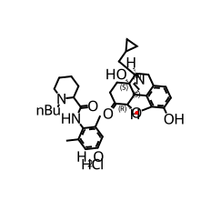 CCCCN1CCCCC1C(=O)Nc1c(C)cccc1C.Cl.O.O=C1CC[C@@]2(O)[C@H]3Cc4ccc(O)c5c4[C@@]2(CCN3CC2CC2)[C@H]1O5